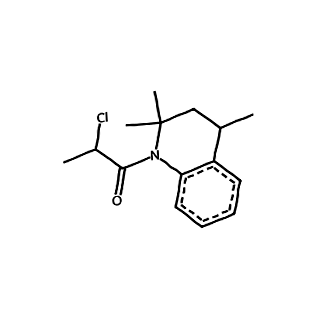 CC(Cl)C(=O)N1c2ccccc2C(C)CC1(C)C